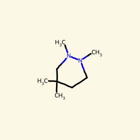 CN1CCC(C)(C)CN1C